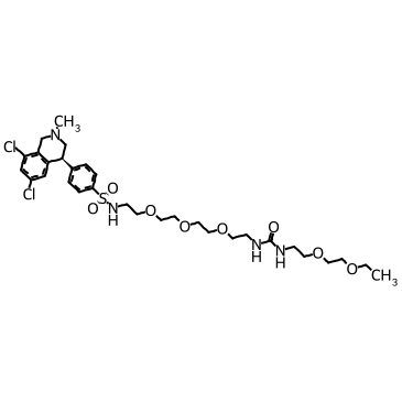 CCOCCOCCNC(=O)NCCOCCOCCOCCNS(=O)(=O)c1ccc([C@@H]2CN(C)Cc3c(Cl)cc(Cl)cc32)cc1